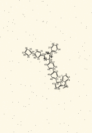 C[Si]1(C)c2ccccc2-c2c(-c3ccc(-c4ccc(-c5nc(-c6ccccc6)nc(-c6ccc(-c7ccccc7)cc6)n5)cc4)cc3)cccc21